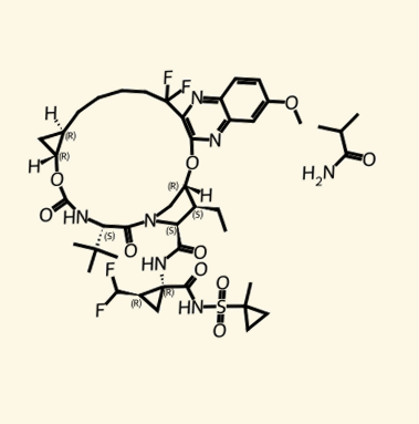 CC(C)C(N)=O.CC[C@@H]1[C@@H]2CN(C(=O)[C@H](C(C)(C)C)NC(=O)O[C@@H]3C[C@H]3CCCCC(F)(F)c3nc4ccc(OC)cc4nc3O2)[C@@H]1C(=O)N[C@]1(C(=O)NS(=O)(=O)C2(C)CC2)C[C@H]1C(F)F